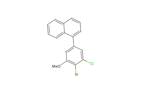 COc1[c]c(-c2cccc3ccccc23)cc(Cl)c1Br